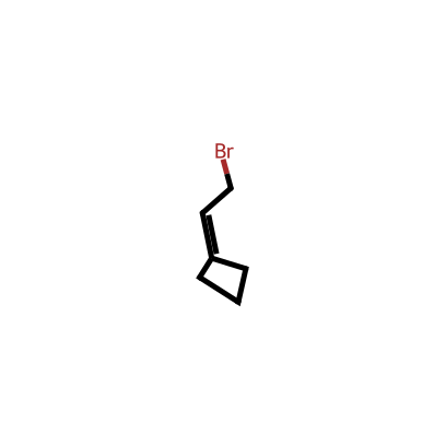 BrCC=C1CCC1